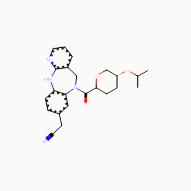 CC(C)O[C@H]1CCC(C(=O)N2Cc3cccnc3Nc3ccc(CC#N)cc32)OC1